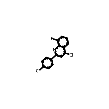 Fc1cccc2c(Cl)cc(-c3ccc(Cl)cc3)nc12